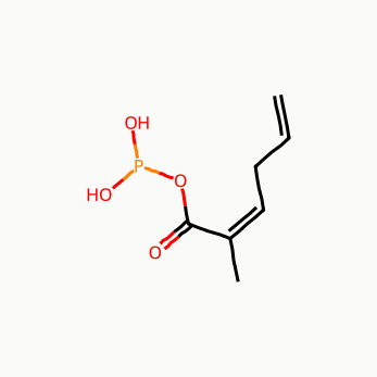 C=CCC=C(C)C(=O)OP(O)O